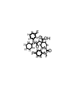 CN(C(=O)N1CCC(CC(=O)N(c2cccc(F)c2)C2CCCCC2)(C(=O)O)CC1)c1ccc(F)cc1